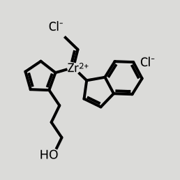 C[CH]=[Zr+2]([C]1=C(CCCO)C=CC1)[CH]1C=Cc2ccccc21.[Cl-].[Cl-]